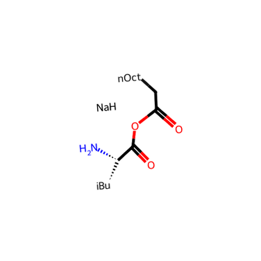 CCCCCCCCCC(=O)OC(=O)[C@@H](N)[C@@H](C)CC.[NaH]